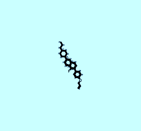 C=CCOc1ccc(-c2ccc3cc(C4CCC(CCC)CC4)ccc3c2F)cc1